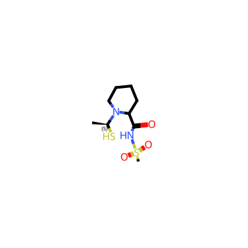 C[C@H](S)N1CCCCC1C(=O)NS(C)(=O)=O